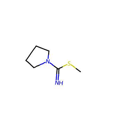 CSC(=N)N1CCCC1